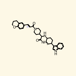 NC(=O)C(NC1CCC(c2c[nH]c3ccccc23)CC1)C1CCN(C(=O)/C=C/c2ccc3c(c2)CCCO3)CC1